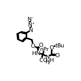 CCCC(NC(=O)OCc1ccccc1N=[N+]=[N-])(NC(=O)OC(C)(C)C)C(=O)O